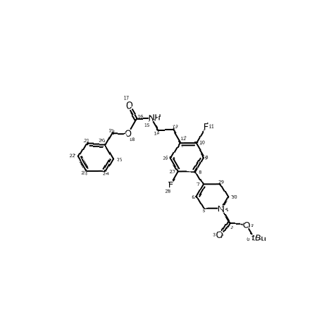 CC(C)(C)OC(=O)N1CC=C(c2cc(F)c(CCNC(=O)OCc3ccccc3)cc2F)CC1